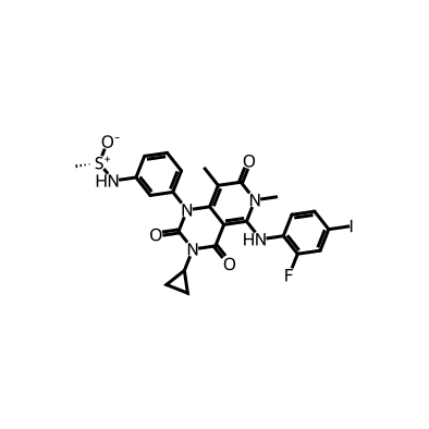 Cc1c(=O)n(C)c(Nc2ccc(I)cc2F)c2c(=O)n(C3CC3)c(=O)n(-c3cccc(N[S@+](C)[O-])c3)c12